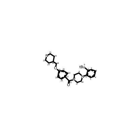 CC(C)(C)c1ccccc1N1CCN(C(=O)c2ccc(OCC3CC[N]CC3)cc2)CC1